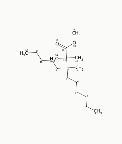 CCCCCCC(C)(CCCCC)C(C)(C)C(=O)OC